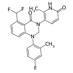 Cc1cc(F)ccc1N1CN(c2ccc(=O)[nH]c2C)C(=O)c2c(C(F)F)cccc21